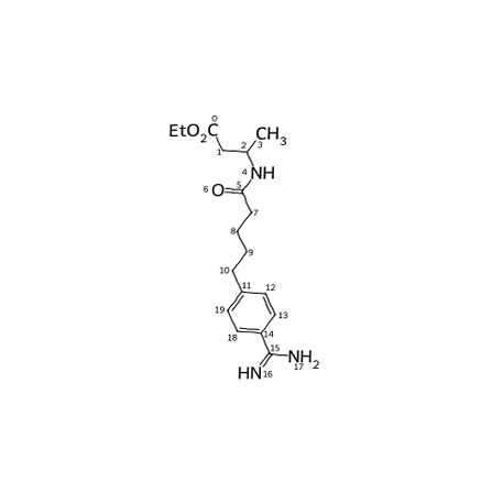 CCOC(=O)CC(C)NC(=O)CCCCc1ccc(C(=N)N)cc1